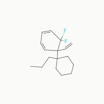 C=CC1(C2(CCC)CCCCC2)C=CC=CC1(F)F